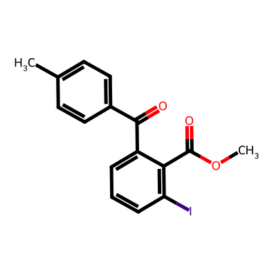 COC(=O)c1c(I)cccc1C(=O)c1ccc(C)cc1